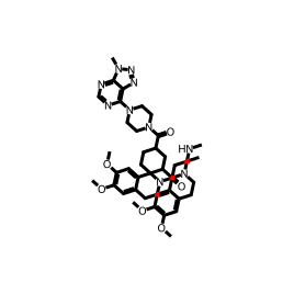 CCN1CCc2cc(OC)c(OC)cc2C1C1CC(C(=O)N2CCN(c3ncnc4c3nnn4C)CC2)CCC12c1cc(OC)c(OC)cc1CCN2C(=O)CCNC